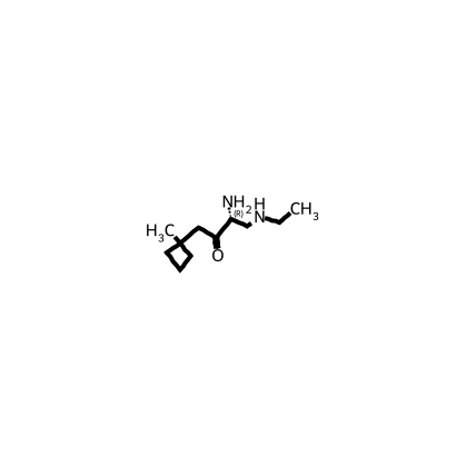 CCNC[C@@H](N)C(=O)CC1(C)CCC1